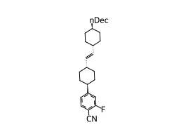 CCCCCCCCCC[C@H]1CC[C@H](/C=C/[C@H]2CC[C@H](c3ccc(C#N)c(F)c3)CC2)CC1